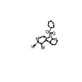 N#Cc1ncc2c(c1Br)c1cccnc1n2S(=O)(=O)c1ccccc1